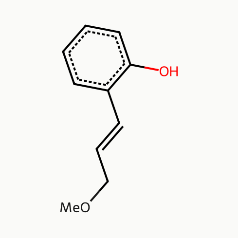 COCC=Cc1ccccc1O